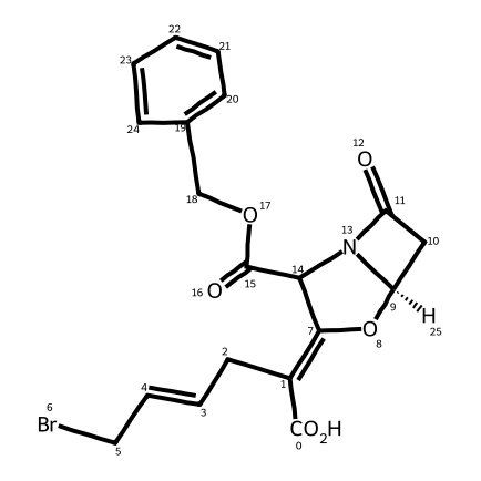 O=C(O)C(CC=CCBr)=C1O[C@@H]2CC(=O)N2C1C(=O)OCc1ccccc1